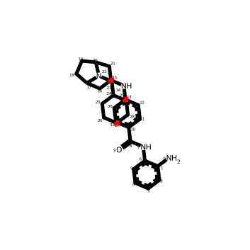 Nc1ccccc1NC(=O)c1ccc(NC2CC3CCC(C2)N3CC2CCCCC2)cc1